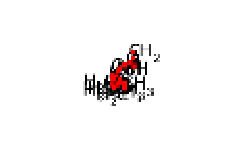 C=CCOc1ccccc1CC(O)CNC(=O)c1cc2c(N3CCC(C)(OCC=C)CC3)c([C@H](OC(C)(C)C)C(=O)OC)c(C)cn2n1